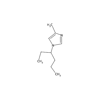 CCCC(CC)n1cnc(C)c1